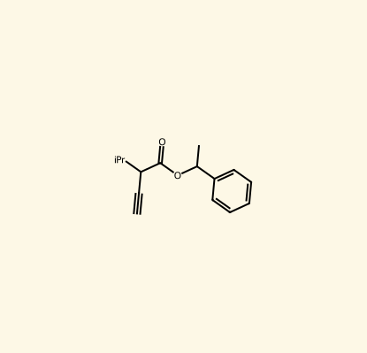 C#CC(C(=O)OC(C)c1ccccc1)C(C)C